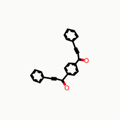 O=C(C#Cc1ccccc1)c1ccc(C(=O)C#Cc2ccccc2)cc1